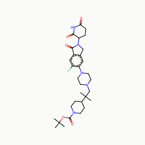 CC(C)(C)OC(=O)N1CCC(C(C)(C)CN2CCN(c3cc4c(cc3F)C(=O)N(C3CCC(=O)NC3=O)C4)CC2)CC1